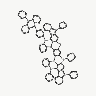 c1ccc(-c2c3ccccc3c(-c3ccc(N4c5ccccc5B5c6cc7c(cc6Sc6cc8c(c4c65)c4ccccc4n8-c4ccccc4)N(c4ccccc4)c4cc5c(c6c4B7c4ccccc4N6c4ccccc4)c4ccccc4n5-c4ccccc4)cc3)c3ccccc23)cc1